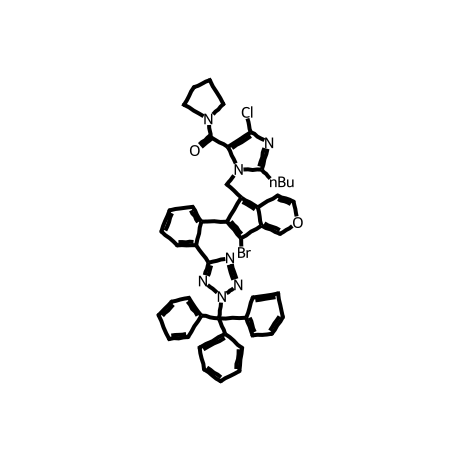 CCCCc1nc(Cl)c(C(=O)N2CCCC2)n1Cc1c2ccocc-2c(Br)c1-c1ccccc1-c1nnn(C(c2ccccc2)(c2ccccc2)c2ccccc2)n1